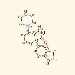 CCC(=O)C1(c2ccc3c(c2)CCO3)C=CC=C(N2CCOCC2)C1C